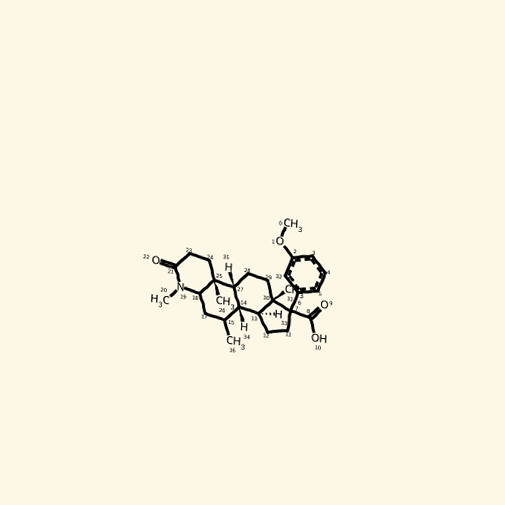 COc1cccc(C2(C(=O)O)CC[C@H]3[C@@H]4C(C)CC5N(C)C(=O)CC[C@]5(C)[C@@H]4CC[C@@]32C)c1